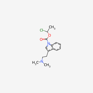 CC(Cl)OC(=O)n1cc(CCN(C)C)c2ccccc21